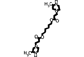 CC1CN(CCC(=O)OCCCCCCOC(=O)CCN2CCNC(C)C2)CCN1